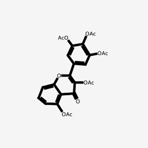 CC(=O)Oc1cc(-c2oc3c[c]cc(OC(C)=O)c3c(=O)c2OC(C)=O)cc(OC(C)=O)c1OC(C)=O